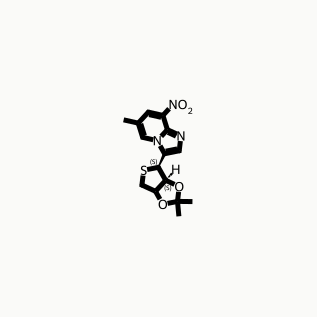 Cc1cc([N+](=O)[O-])c2ncc([C@@H]3SCC4OC(C)(C)O[C@@H]43)n2c1